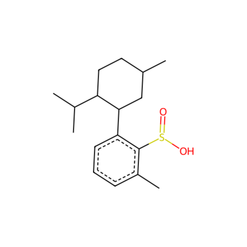 Cc1cccc(C2CC(C)CCC2C(C)C)c1S(=O)O